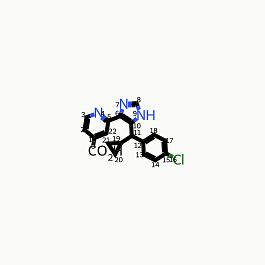 O=C(O)c1ccnc(-c2nc[nH]c2C(c2ccc(Cl)cc2)C2CC2)c1